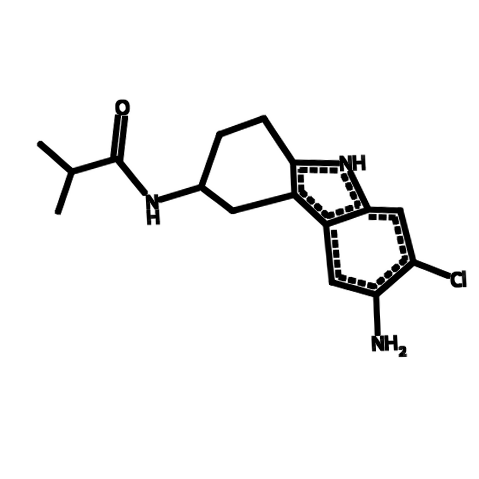 CC(C)C(=O)NC1CCc2[nH]c3cc(Cl)c(N)cc3c2C1